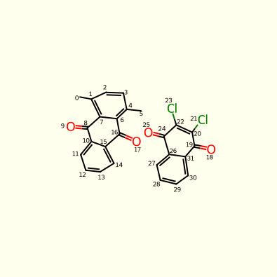 Cc1ccc(C)c2c1C(=O)c1ccccc1C2=O.O=C1C(Cl)=C(Cl)C(=O)c2ccccc21